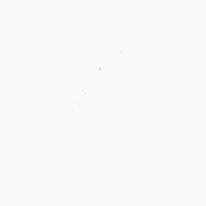 CC(N)C(=O)N1N=C(c2cc(F)ccc2F)SC1(CCCN)c1ccccc1